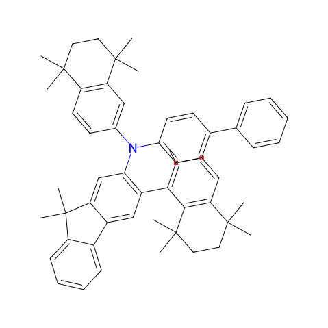 Cc1ccc2c(c1-c1cc3c(cc1N(c1ccc(-c4ccccc4)cc1)c1ccc4c(c1)C(C)(C)CCC4(C)C)C(C)(C)c1ccccc1-3)C(C)(C)CCC2(C)C